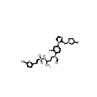 CC(CCN(C=O)c1ccc(-n2ccnc2CN2CCC(F)C2)cc1F)NS(=O)(=O)/C=C/c1ccc(Cl)s1